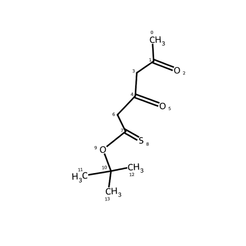 CC(=O)CC(=O)CC(=S)OC(C)(C)C